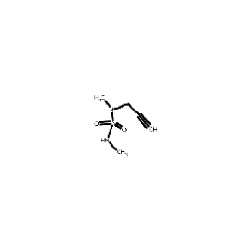 C#CCN(C)S(=O)(=O)NC